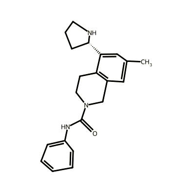 Cc1cc2c(c([C@@H]3CCCN3)c1)CCN(C(=O)Nc1ccccc1)C2